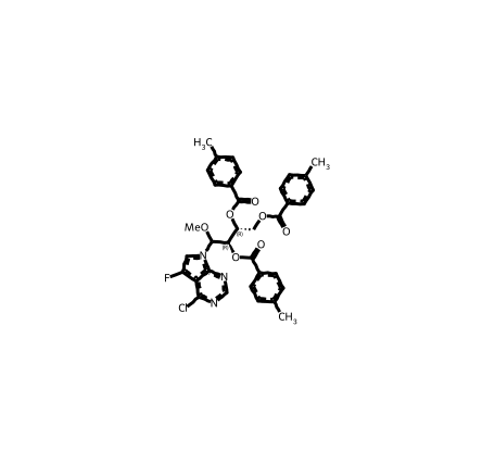 COC([C@H](OC(=O)c1ccc(C)cc1)[C@@H](COC(=O)c1ccc(C)cc1)OC(=O)c1ccc(C)cc1)n1cc(F)c2c(Cl)ncnc21